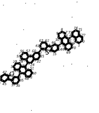 c1ccc2c(-c3c4ccccc4c(-c4ccc5sc6c(-c7ccc8cc(-c9c%10ccccc%10c(-c%10cccc%11c%10oc%10ccccc%10%11)c%10ccccc9%10)c9ccccc9c8c7)cccc6c5c4)c4ccccc34)cccc2c1